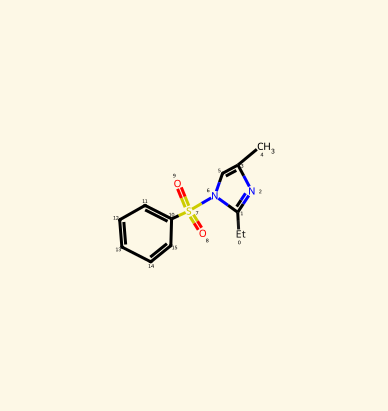 CCc1nc(C)cn1S(=O)(=O)c1ccccc1